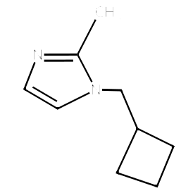 Cc1n[c]cn1CC1CCC1